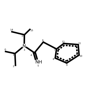 CC(C)N(C(=N)Cc1ccccc1)C(C)C